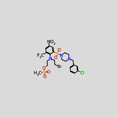 CS(=O)(=O)OCCN(CCBr)c1c(C(F)(F)F)cc([N+](=O)[O-])cc1S(=O)(=O)N1CCN(Cc2cccc(Cl)c2)CC1